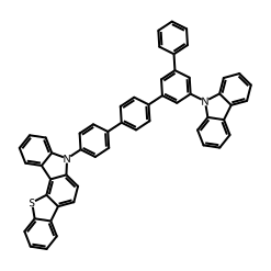 c1ccc(-c2cc(-c3ccc(-c4ccc(-n5c6ccccc6c6c7sc8ccccc8c7ccc65)cc4)cc3)cc(-n3c4ccccc4c4ccccc43)c2)cc1